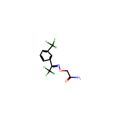 NC(=O)CON=C(c1cccc(C(F)(F)F)c1)C(F)(F)F